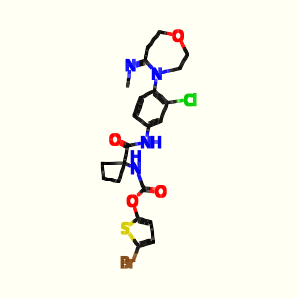 CN=C1CCOCCN1c1ccc(NC(=O)C2(NC(=O)Oc3ccc(Br)s3)CCC2)cc1Cl